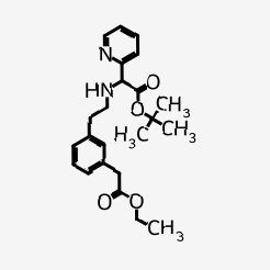 CCOC(=O)Cc1cccc(CCNC(C(=O)OC(C)(C)C)c2ccccn2)c1